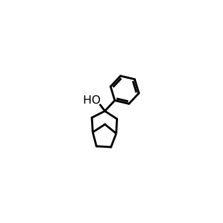 OC1(c2ccccc2)CC2CCC(C2)C1